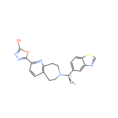 C[C@H](c1ccc2scnc2c1)N1CCc2ccc(-c3nnc(O)o3)nc2CC1